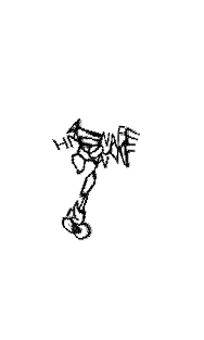 N#CC1(NC(=O)C2CCCCC2c2oc(-c3cnc(C(F)(F)F)nc3)nc2-c2ccc(N3CCS(=O)(=O)CC3)cc2)CC1